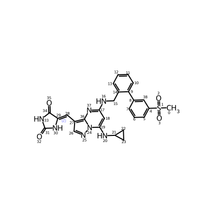 CS(=O)(=O)c1cccc(-c2ccccc2CNc2cc(NC3CC3)n3ncc(/C=C4\NC(=O)NC4=O)c3n2)c1